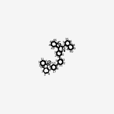 CC1CC=CC=C1P(=O)(c1ccccc1)c1cccc(-c2cccc(-c3ccc4c(c3)nc(-c3cccc5ccccc35)c3sc5ccccc5c34)c2)c1